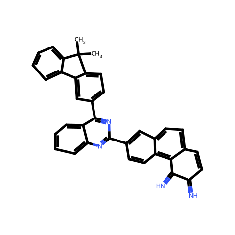 CC1(C)c2ccccc2-c2cc(-c3nc(-c4ccc5c6c(ccc5c4)C=CC(=N)C6=N)nc4ccccc34)ccc21